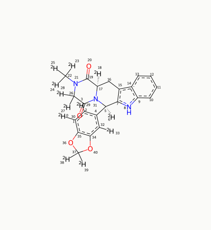 [2H]c1c([2H])c([C@]2([2H])c3[nH]c4ccccc4c3C[C@]3([2H])C(=O)N(C([2H])([2H])[2H])C([2H])([2H])C(=O)N23)c([2H])c2c1OC([2H])([2H])O2